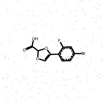 O=C(O)C1OC=C(c2ccc(Br)cc2F)O1